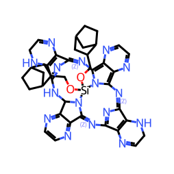 C1=NC2=C(NC1)/C1=N/c3c4nccnc4c4n3[Si](OCC3CC5CCC3C5)(OCC3CC5CCC3C5)N3/C(=N\C2=N1)c1nccnc1C3NC1=N/C(=N\4)C2=C1NCC=N2